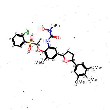 CCCCN(O)C(=O)Nc1cc(C2CCC(c3cc(OC)c(OC)c(OC)c3)O2)cc(OC)c1OC(C)S(=O)(=O)c1ccccc1Br